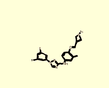 CC(=O)N1CC(COc2ccc(Nc3ncn(-c4cc(F)cc(F)c4)n3)cc2C)C1